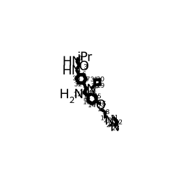 CC(C)NC(=O)Nc1ccc(-c2c(N)c3ccc(OCCCn4ccnc4)cc3n2C2CCC2)cc1